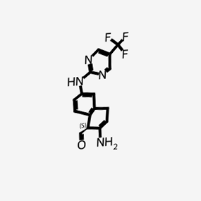 NC1=CCc2cc(Nc3ncc(C(F)(F)F)cn3)ccc2[C@@H]1C=O